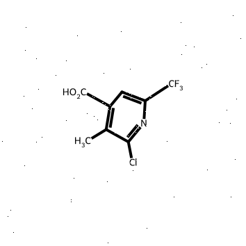 Cc1c(C(=O)O)cc(C(F)(F)F)nc1Cl